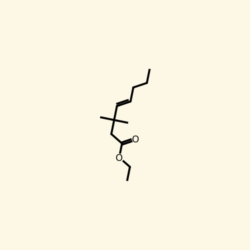 CCCC=CC(C)(C)CC(=O)OCC